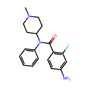 CN1CCC(N(C(=O)c2ccc(N)cc2F)c2ccccc2)CC1